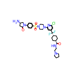 N[C@@H]1CC(=O)N(c2ccc(S(=O)(=O)N3CCN(c4cc(C(F)(F)[C@H]5CC[C@H](C(=O)NCCN6CCCC6)CC5)cc(Cl)n4)CC3)cc2)C1